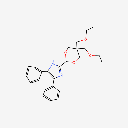 CCOCC1(COCC)COC(c2nc(-c3ccccc3)c(-c3ccccc3)[nH]2)OC1